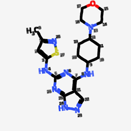 Cc1cc(Nc2nc(NC3CCC(N4CCOCC4)CC3)c3cn[nH]c3n2)sn1